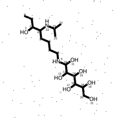 CCC(O)C(CCCCNC(O)C(O)C(O)C(O)C(O)CO)NC(C)C